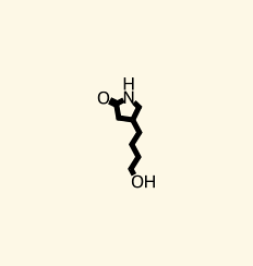 O=C1CC(CCCCO)CN1